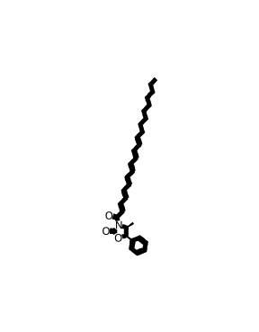 CCCCCCCCCC=CC=CC=CC=CC=CC=CC(=O)N1C(=O)O[C@H](c2ccccc2)[C@@H]1C